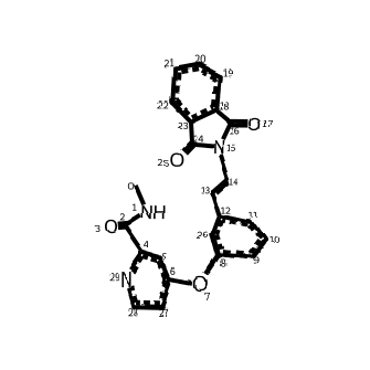 CNC(=O)c1cc(Oc2cccc(C=CN3C(=O)c4ccccc4C3=O)c2)ccn1